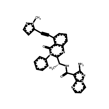 C[C@@H](NC(=O)c1c(N)nn2cccnc12)c1nc2cccc(C#Cc3ccnn3C)c2c(=O)n1-c1ccccc1